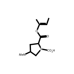 CC=C(C)OC(=O)C1CC(NC)CN1C(=O)O